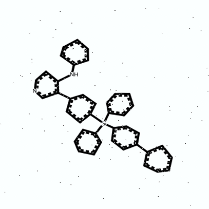 c1ccc(Nc2ccncc2-c2ccc([Si](c3ccccc3)(c3ccccc3)c3ccc(-c4ccccc4)cc3)cc2)cc1